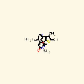 Cc1sc2c(c1C)/C(CC1CC1)=C/CC(CC(=O)O)c1cc(=O)n(C)cc1-2